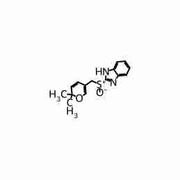 CC1(C)C=CC(C[S+]([O-])c2nc3ccccc3[nH]2)=CO1